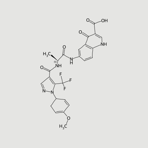 COC1=CCC(n2ncc(C(=O)N[C@@H](C)C(=O)Nc3ccc4[nH]cc(C(=O)O)c(=O)c4c3)c2C(F)(F)F)C=C1